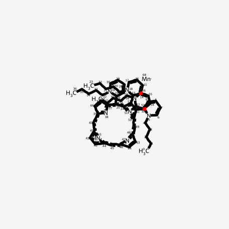 CCCCCN1C=CC=CC1c1c(C2C=CC=CN2CCCCC)c2c(C3C=CC=CN3CCCCC)c3nc(cc4ccc(cc5nc(cc1n2C1C=CC=CN1CCCCC)C=C5)[nH]4)C=C3.[Mn]